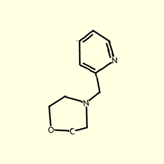 [c]1ccnc(CN2CCOCC2)c1